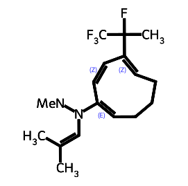 CNN(C=C(C)C)C1=C/CCC/C=C(C(C)(F)C(F)(F)F)/C=C\1